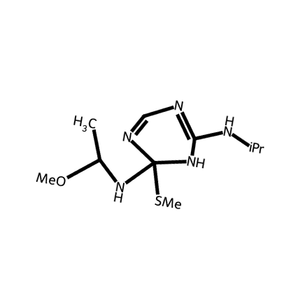 COC(C)NC1(SC)N=CN=C(NC(C)C)N1